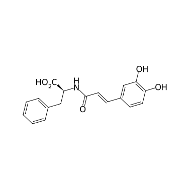 O=C(/C=C/c1ccc(O)c(O)c1)N[C@@H](Cc1ccccc1)C(=O)O